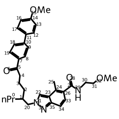 CCCC(CCCC(=O)c1ccc(-c2ccc(OC)cc2)cc1)Cn1cc2c(C)c(C(=O)NCCOC)ccc2n1